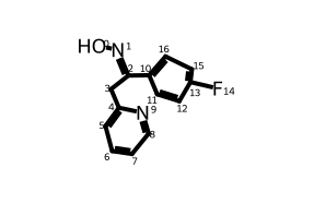 O/N=C(\Cc1ccccn1)c1ccc(F)cc1